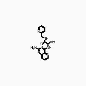 CCCC(Nc1nc(N)nc2cccnc12)C(=O)NCc1ccccn1